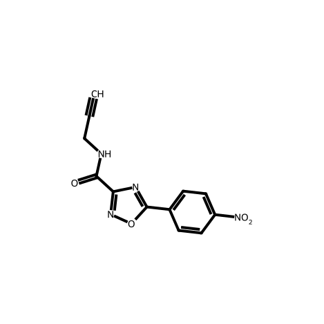 C#CCNC(=O)c1noc(-c2ccc([N+](=O)[O-])cc2)n1